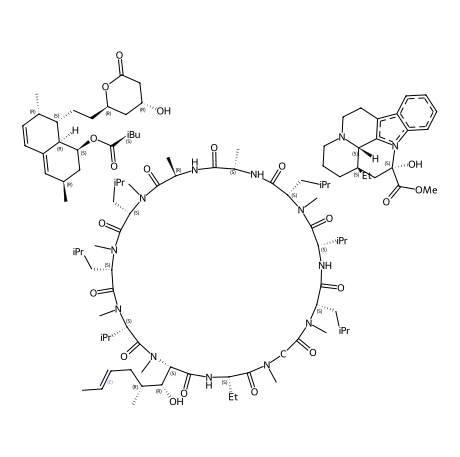 C/C=C/C[C@@H](C)[C@@H](O)[C@H]1C(=O)N[C@@H](CC)C(=O)N(C)CC(=O)N(C)[C@@H](CC(C)C)C(=O)N[C@@H](C(C)C)C(=O)N(C)[C@@H](CC(C)C)C(=O)N[C@@H](C)C(=O)N[C@H](C)C(=O)N(C)[C@@H](CC(C)C)C(=O)N(C)[C@@H](CC(C)C)C(=O)N(C)[C@@H](C(C)C)C(=O)N1C.CC[C@H](C)C(=O)O[C@H]1C[C@@H](C)C=C2C=C[C@H](C)[C@H](CC[C@@H]3C[C@@H](O)CC(=O)O3)[C@H]21.CC[C@]12CCCN3CCc4c(n(c5ccccc45)[C@@](O)(C(=O)OC)C1)[C@@H]32